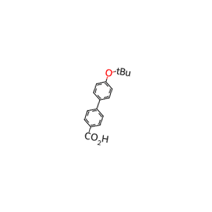 CC(C)(C)Oc1ccc(-c2ccc(C(=O)O)cc2)cc1